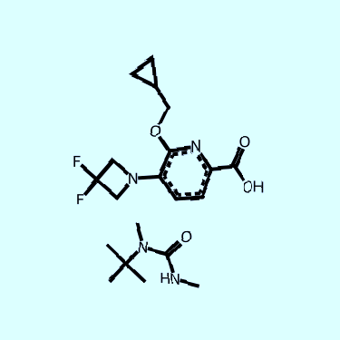 CNC(=O)N(C)C(C)(C)C.O=C(O)c1ccc(N2CC(F)(F)C2)c(OCC2CC2)n1